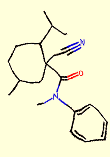 CC1CCC(C(C)C)C(C#N)(C(=O)N(C)c2ccccc2)C1